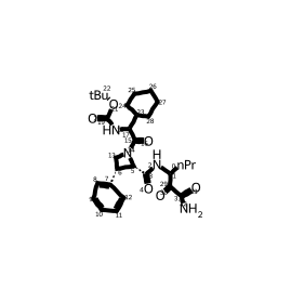 CCCC(NC(=O)[C@@H]1[C@H](c2ccccc2)CN1C(=O)C(NC(=O)OC(C)(C)C)C1CCCCC1)C(=O)C(N)=O